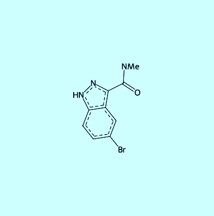 CNC(=O)c1n[nH]c2ccc(Br)cc12